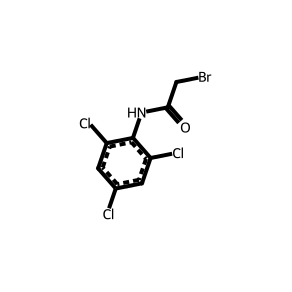 O=C(CBr)Nc1c(Cl)cc(Cl)cc1Cl